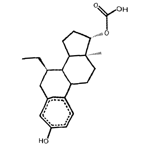 CC[C@@H]1Cc2cc(O)ccc2C2CC[C@@]3(C)C(CC[C@@H]3OC(=O)O)C21